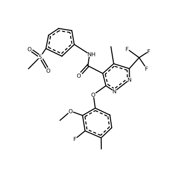 COc1c(Oc2nnc(C(F)(F)F)c(C)c2C(=O)Nc2cccc(S(C)(=O)=O)c2)ccc(C)c1F